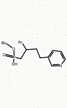 CCC(C)OP(=O)(O)CC(CCc1cccnc1)C(C)=O